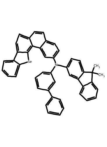 CC1(C)c2ccccc2-c2cc(N(c3cccc(-c4ccccc4)c3)c3ccc4ccc5ccc6c7ccccc7[se]c6c5c4c3)ccc21